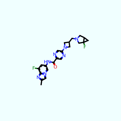 Cc1cn2cc(NC(=O)c3cnc(N4CC(CN5CC6CC6(F)C5)C4)cn3)cc(F)c2n1